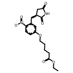 CCOC(=O)CCCCOc1ccc([N+](=O)[O-])c(C=C2CC(=O)NC2=O)c1